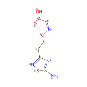 Nc1nc(CCO/N=C\C(=O)O)ns1